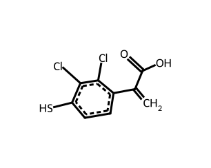 C=C(C(=O)O)c1ccc(S)c(Cl)c1Cl